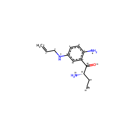 C=CCNc1ccc(N)c(C(=O)[C@@H](N)CC(C)C)c1